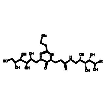 CC[C@@H](O)[C@@H](O)[C@H](O)[C@@H](O)CNC(=O)CC[C@H](NC(=O)CCC(C)(C)C)C(=O)NC[C@H](O)[C@@H](O)[C@H](O)[C@H](O)CO